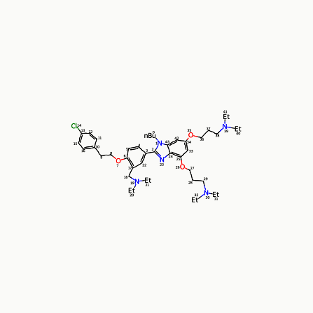 CCCCn1c(-c2ccc(OCCc3ccc(Cl)cc3)c(CN(CC)CC)c2)nc2c(OCCCN(CC)CC)cc(OCCCN(CC)CC)cc21